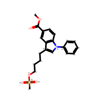 COC(=O)c1ccc2c(c1)c(CCCCOS(C)(=O)=O)cn2-c1ccccc1